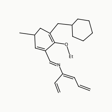 C=C/C=C(C=C)/N=C/C1=CC(C)CC(CC2CCCCC2)=C1OCC